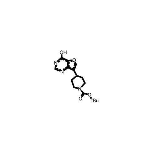 CC(C)(C)OC(=O)N1CCC(c2coc3c(O)ncnc23)CC1